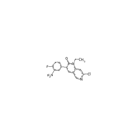 CCn1c(=O)c(-c2ccc(F)c(N)c2)cc2cnc(Cl)cc21